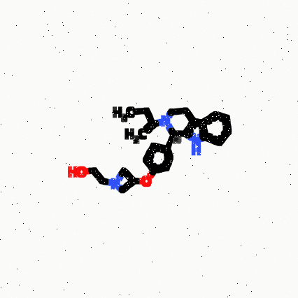 C=C(CC)N1CCc2c([nH]c3ccccc23)[C@H]1c1ccc(OC2CN(CCO)C2)cc1